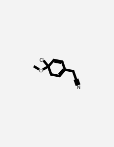 COC1(Cl)C=CC(CC#N)=CC1